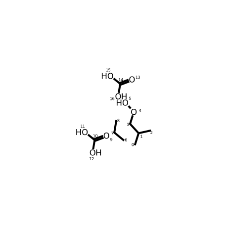 CC(C)COO.CCC.O=C(O)O.O=C(O)O